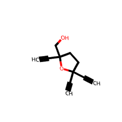 C#CC1(C#C)CCC(C#C)(CO)O1